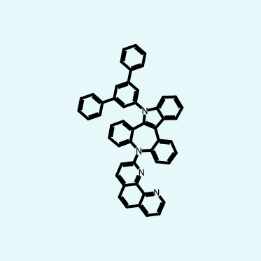 c1ccc(-c2cc(-c3ccccc3)cc(-n3c4c(c5ccccc53)-c3ccccc3N(c3ccc5ccc6cccnc6c5n3)c3ccccc3-4)c2)cc1